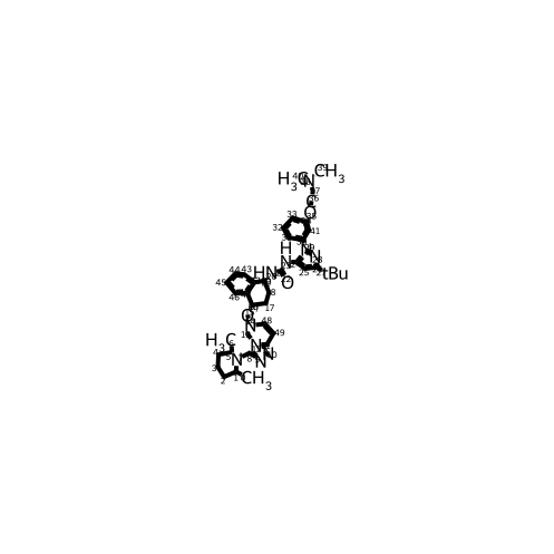 CC1CCCC(C)N1c1nnc2n1CN(O[C@@H]1CC[C@H](NC(=O)Nc3cc(C(C)(C)C)nn3-c3cccc(OCCN(C)C)c3)c3ccccc31)C=C2